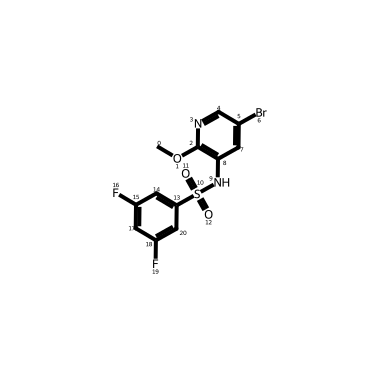 COc1ncc(Br)cc1NS(=O)(=O)c1cc(F)cc(F)c1